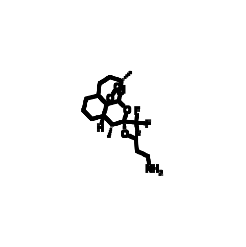 C[C@@H]1[C@@H]2CCCC3CC[C@]4(C)OO[C@]32[C@@H](O4)O[C@@]1(OCCCN)C(F)(F)F